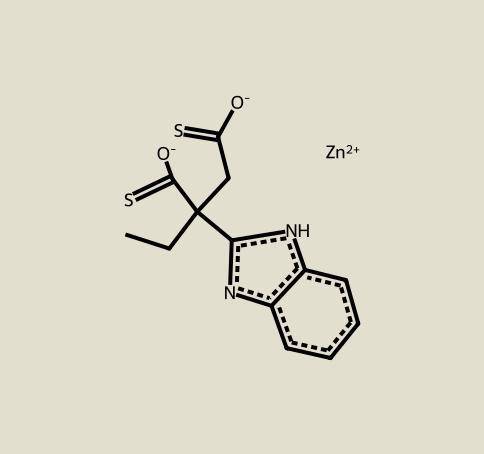 CCC(CC([O-])=S)(C([O-])=S)c1nc2ccccc2[nH]1.[Zn+2]